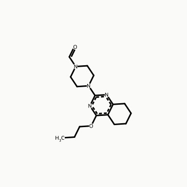 CCCOc1nc(N2CCN(C=O)CC2)nc2c1CCCC2